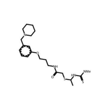 CNC(=S)NC(C)SCC(=O)NCCCOc1cccc(CN2CCCCC2)c1